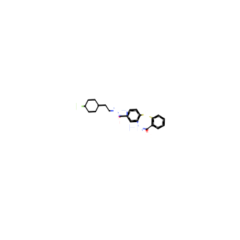 O=C(NCCC1CCC(F)CC1)c1ccc2c(c1)NC(=O)c1ccccc1S2